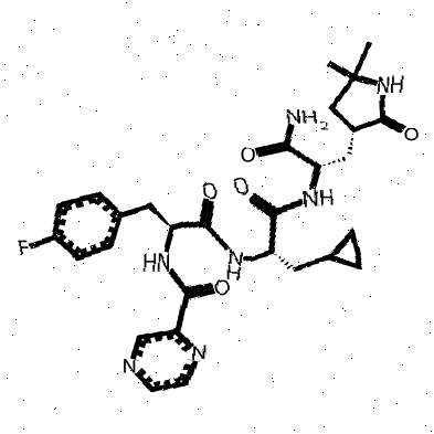 CC1(C)C[C@@H](C[C@H](NC(=O)[C@H](CC2CC2)NC(=O)[C@H](Cc2ccc(F)cc2)NC(=O)c2cnccn2)C(N)=O)C(=O)N1